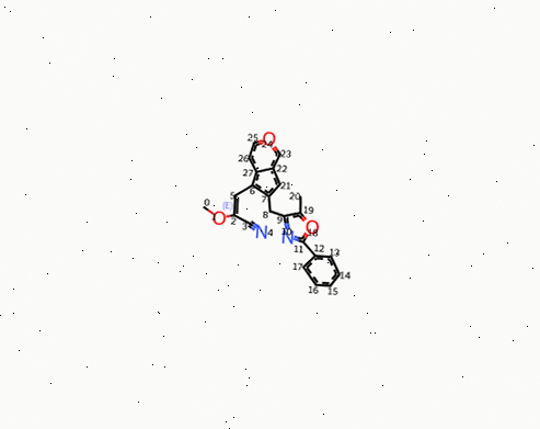 CO/C(C#N)=C/c1c(Cc2nc(-c3ccccc3)oc2C)cc2coccc1-2